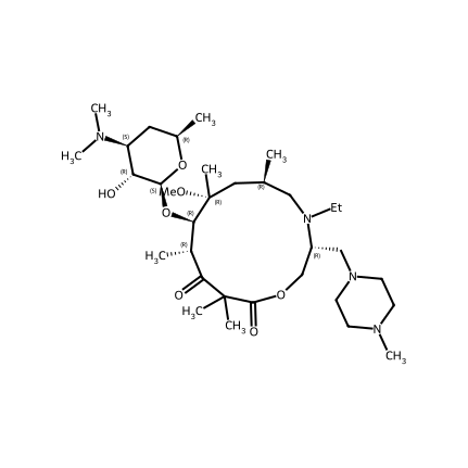 CCN1C[C@H](C)C[C@@](C)(OC)[C@H](O[C@@H]2O[C@H](C)C[C@H](N(C)C)[C@H]2O)[C@@H](C)C(=O)C(C)(C)C(=O)OC[C@H]1CN1CCN(C)CC1